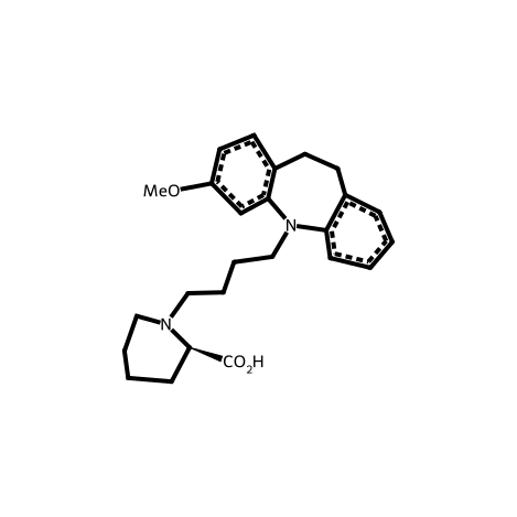 COc1ccc2c(c1)N(CCCCN1CCCC[C@@H]1C(=O)O)c1ccccc1CC2